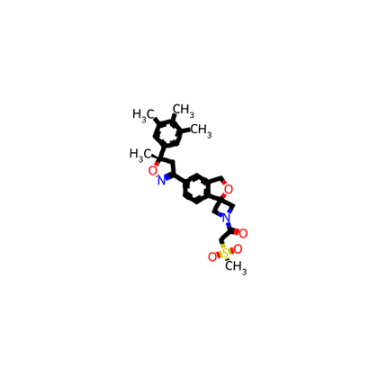 Cc1cc([C@]2(C)CC(c3ccc4c(c3)COC43CN(C(=O)CS(C)(=O)=O)C3)=NO2)cc(C)c1C